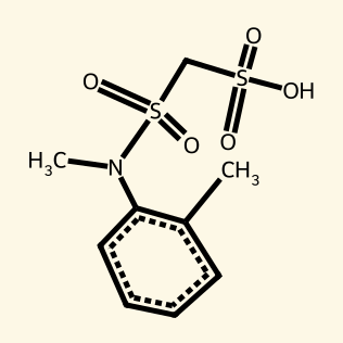 Cc1ccccc1N(C)S(=O)(=O)CS(=O)(=O)O